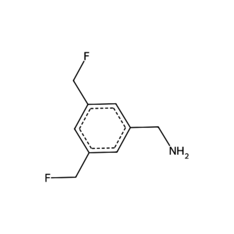 NCc1cc(CF)cc(CF)c1